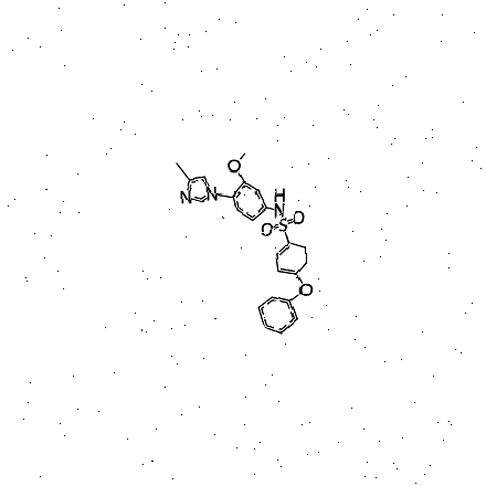 COc1cc(NS(=O)(=O)C2=CC=C(Oc3ccccc3)CC2)ccc1-n1cnc(C)c1